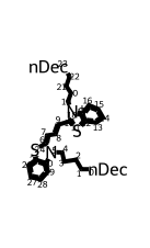 CCCCCCCCCCCCCCN1C(=CC=Cc2sc3ccccc3[n+]2CCCCCCCCCCCCCC)Sc2ccccc21